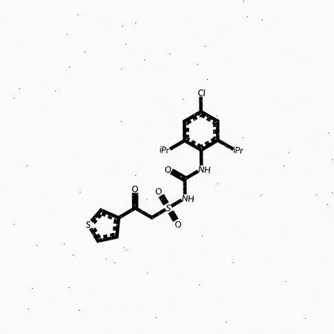 CC(C)c1cc(Cl)cc(C(C)C)c1NC(=O)NS(=O)(=O)CC(=O)c1ccsc1